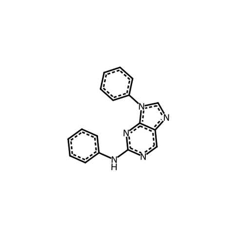 c1ccc(Nc2ncc3ncn(-c4ccccc4)c3n2)cc1